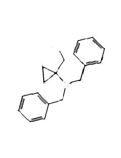 OCC1(N(Cc2ccccc2)Cc2ccccc2)CC1